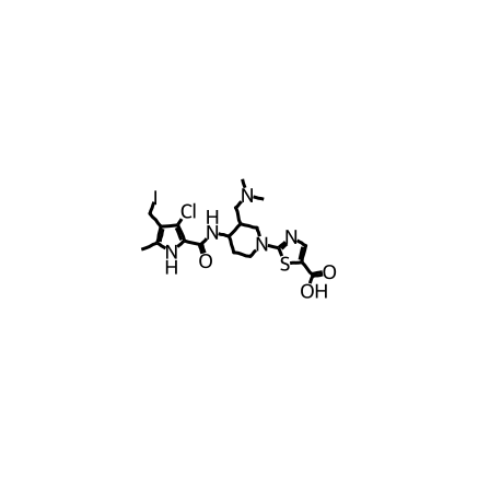 Cc1[nH]c(C(=O)NC2CCN(c3ncc(C(=O)O)s3)CC2CN(C)C)c(Cl)c1CI